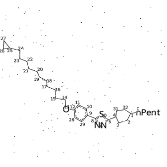 CCCCCC1CCC(c2nnc(-c3ccc(OCCCCCCCCCCCC4CC4)cc3)s2)CC1